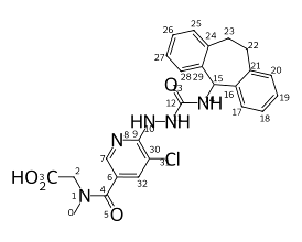 CN(CC(=O)O)C(=O)c1cnc(NNC(=O)NC2c3ccccc3CCc3ccccc32)c(Cl)c1